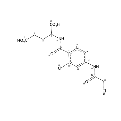 O=C(O)CCC(NC(=O)c1ncc(NC(=O)CCl)cc1Cl)C(=O)O